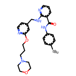 CC(C)(C)c1ccc(NC(=O)c2cccnc2NCc2ccnc(OCCCN3CCOCC3)c2)cc1